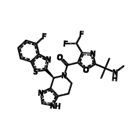 CNC(C)(C)c1nc(C(F)F)c(C(=O)N2CCc3[nH]cnc3[C@H]2c2nc3c(F)cccc3s2)o1